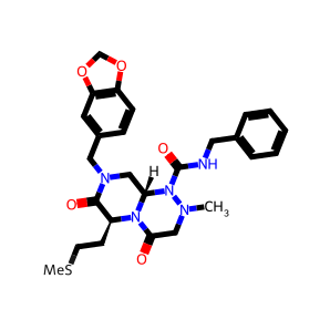 CSCC[C@H]1C(=O)N(Cc2ccc3c(c2)OCO3)C[C@H]2N1C(=O)CN(C)N2C(=O)NCc1ccccc1